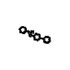 c1ccc(NOc2ccc(-c3ccccc3)cc2)cc1